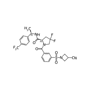 C[C@@H](NC(=O)[C@H]1CC(F)(F)CN1C(=O)c1cccc(S(=O)(=O)N2CC(C#N)C2)c1)c1ccc(C(F)(F)F)cc1